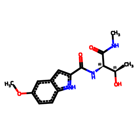 CNC(=O)[C@@H](NC(=O)c1cc2cc(OC)ccc2[nH]1)[C@@H](C)O